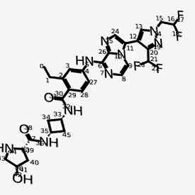 CCc1cc(Nc2nccn3c(-c4cn(CC(F)F)nc4C(F)F)cnc23)ccc1C(=O)N[C@H]1C[C@@H](NC(=O)[C@@H]2C[C@@H](O)CN2)C1